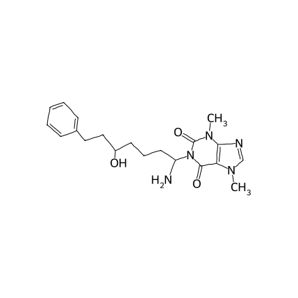 Cn1cnc2c1c(=O)n(C(N)CCCC(O)CCc1ccccc1)c(=O)n2C